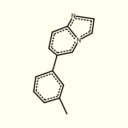 Cc1cccc(-c2ccc3nccn3c2)c1